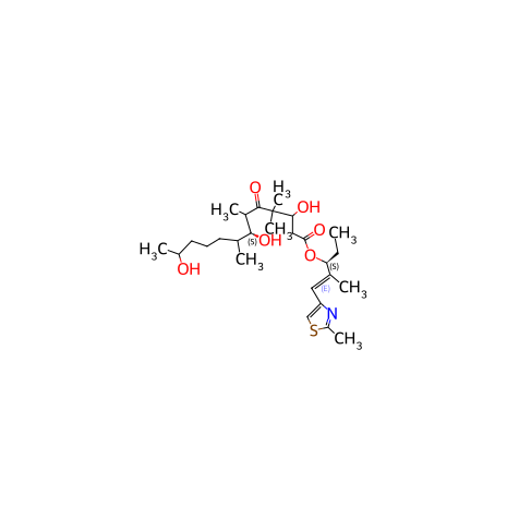 CC[C@H](OC(=O)CC(O)C(C)(C)C(=O)C(C)[C@@H](O)C(C)CCCC(C)O)/C(C)=C/c1csc(C)n1